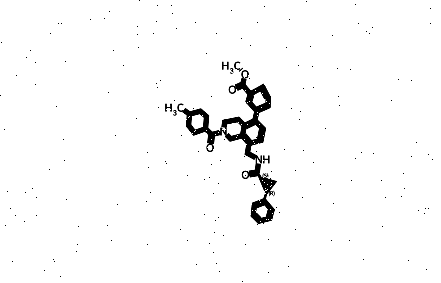 COC(=O)c1cccc(-c2ccc(CNC(=O)[C@H]3C[C@H]3c3ccccc3)c3c2CCN(C(=O)C2CCC(C)CC2)C3)c1